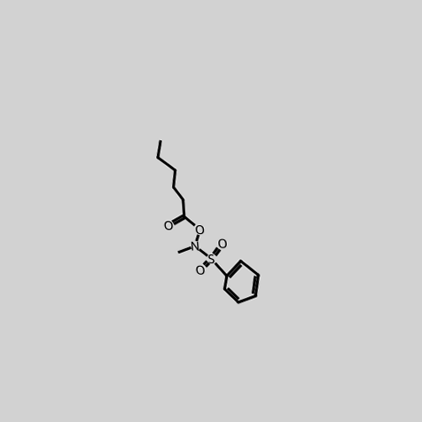 CCCCCC(=O)ON(C)S(=O)(=O)c1ccccc1